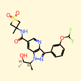 C[C@H](O)[C@H](C)n1nc(-c2cccc(OC(F)F)c2)c2ncc(C(=O)NC3(C)CS(=O)(=O)C3)cc21